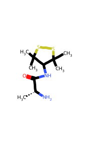 C[C@@H](N)C(=O)NC1C(C)(C)SSC1(C)C